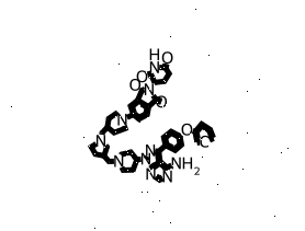 Nc1ncnc2c1c(-c1ccc(Oc3ccccc3)cc1)nn2C1CCN(CC2CCN(CC3CCN(c4ccc5c(c4)C(=O)N(C4CCC(=O)NC4=O)C5=O)CC3)C2)CC1